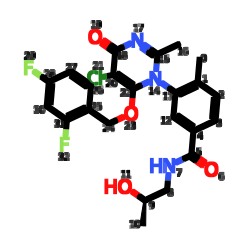 Cc1ccc(C(=O)NC[C@@H](C)O)cc1-n1c(C)nc(=O)c(Cl)c1OCc1ccc(F)cc1F